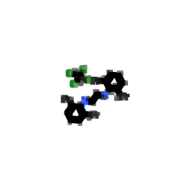 CC(C)c1cccc(C(C)C)c1N=CC=Nc1c(C(C)C)cccc1C(C)C.[Cl][Re]([Cl])([Cl])[Cl]